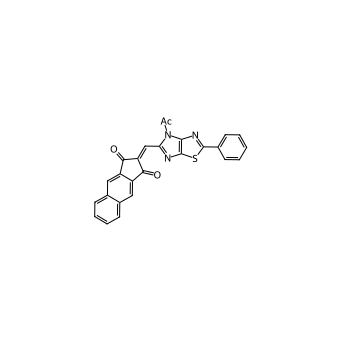 CC(=O)n1c(C=C2C(=O)c3cc4ccccc4cc3C2=O)nc2sc(-c3ccccc3)nc21